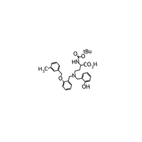 Cc1cccc(COc2ccccc2CN(CCC(NC(=O)OC(C)(C)C)C(=O)O)Cc2ccccc2O)c1